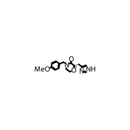 COc1ccc(CN2CCO[C@@H](Cc3c[nH]cn3)C2=O)cc1